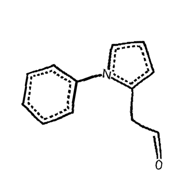 O=CCc1cccn1-c1ccccc1